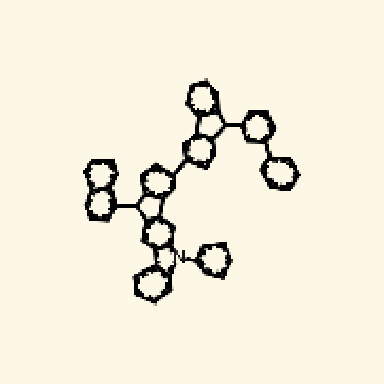 c1ccc(-c2cccc(C3c4ccccc4-c4cc(-c5ccc6c(c5)-c5cc7c(cc5C6c5cccc6ccccc56)c5ccccc5n7-c5ccccc5)ccc43)c2)cc1